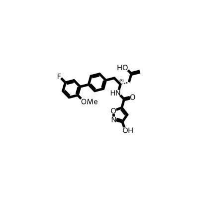 C=C(O)C[C@@H](Cc1ccc(-c2cc(F)ccc2OC)cc1)NC(=O)c1cc(O)no1